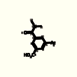 CC(=O)c1cc(C(=O)O)cc(C(=O)N(C)C)c1